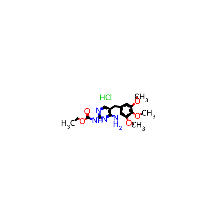 CCOC(=O)Nc1ncc(Cc2cc(OC)c(OC)c(OC)c2)c(N)n1.Cl